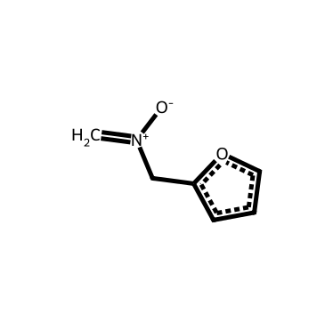 C=[N+]([O-])Cc1ccco1